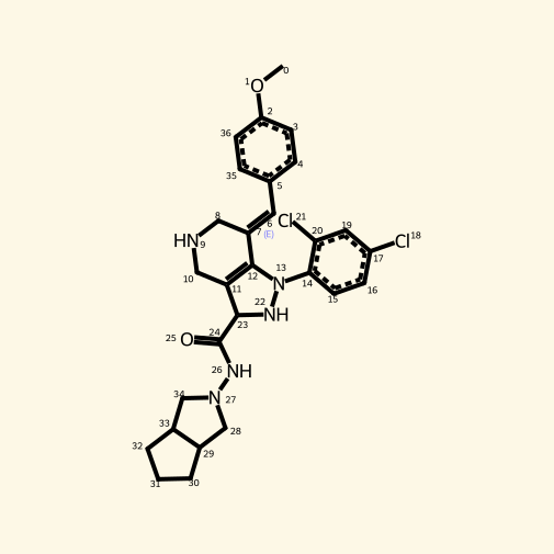 COc1ccc(/C=C2\CNCC3=C2N(c2ccc(Cl)cc2Cl)NC3C(=O)NN2CC3CCCC3C2)cc1